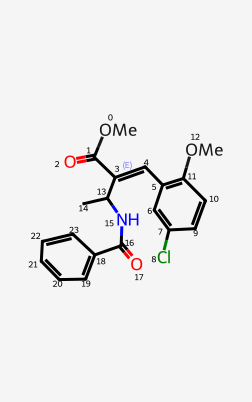 COC(=O)/C(=C/c1cc(Cl)ccc1OC)C(C)NC(=O)c1ccccc1